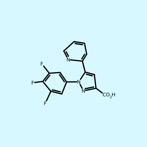 O=C(O)c1cc(-c2ccccn2)n(-c2cc(F)c(F)c(F)c2)n1